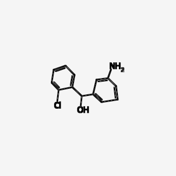 Nc1cccc(C(O)c2ccccc2Cl)c1